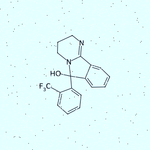 OC1(c2ccccc2C(F)(F)F)c2ccccc2C2=NCCCN21